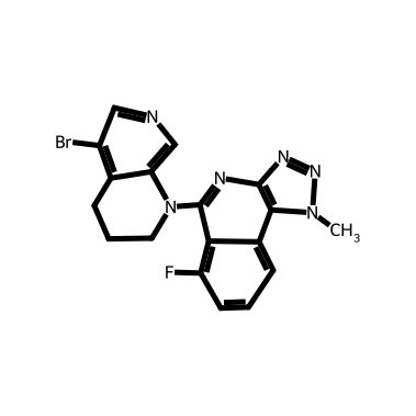 Cn1nnc2nc(N3CCCc4c(Br)cncc43)c3c(F)cccc3c21